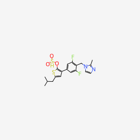 Cc1nccn1Cc1c(F)cc(-c2cc(CC(C)C)sc2O[SH](=O)=O)cc1F